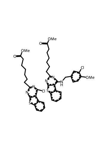 COC(=O)CCCCCCc1nc(Cl)c2c(n1)sc1ccccc12.COC(=O)CCCCCCc1nc(NCc2ccc(OC)c(Cl)c2)c2c(n1)sc1ccccc12